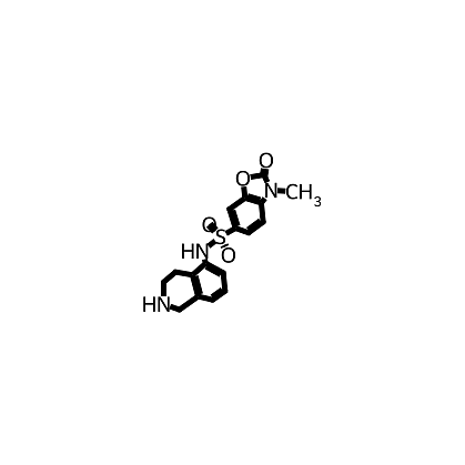 Cn1c(=O)oc2cc(S(=O)(=O)Nc3cccc4c3CCNC4)ccc21